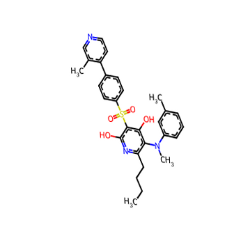 CCCCc1nc(O)c(S(=O)(=O)c2ccc(-c3ccncc3C)cc2)c(O)c1N(C)c1cccc(C)c1